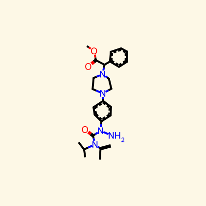 C=C(C)N(C(=O)N(N)c1ccc(N2CCN(C(C(=O)OC)c3ccccc3)CC2)cc1)C(C)C